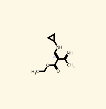 CCOC(=O)/C(=C/NC1CC1)C(C)=N